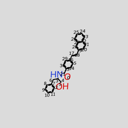 O=C(NC(CO)Cc1ccccc1)c1ccc(C=Cc2ccc3ccccc3c2)cc1